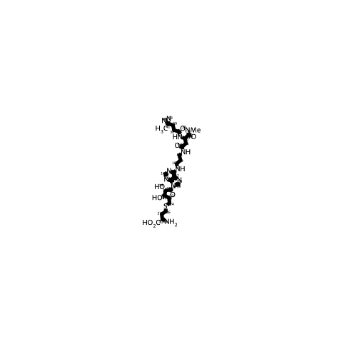 CNC(=O)C(CC(=O)NCCCNc1ncnc2c1ncn2C1OC(CSCC[C@H](N)C(=O)O)C(O)C1O)NC(=O)CCC1(C)N=N1